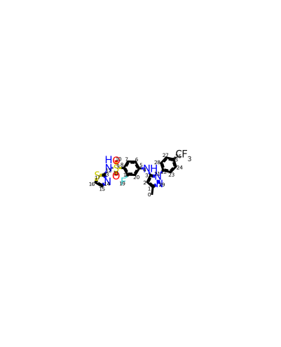 Cc1cc(Nc2ccc(S(=O)(=O)Nc3nccs3)c(F)c2)n(-c2ccc(C(F)(F)F)cc2)n1